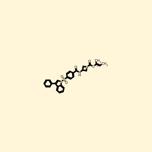 C/C=C(\C)OC(=O)N1CC(NC(=O)c2ccc(S(=O)(=O)n3cc(-c4ccccc4)c4ccccc43)cc2)C1